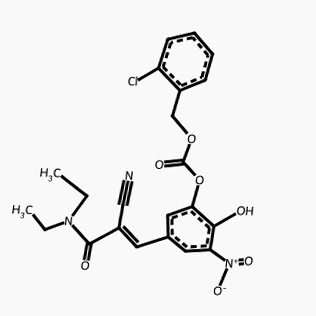 CCN(CC)C(=O)/C(C#N)=C/c1cc(OC(=O)OCc2ccccc2Cl)c(O)c([N+](=O)[O-])c1